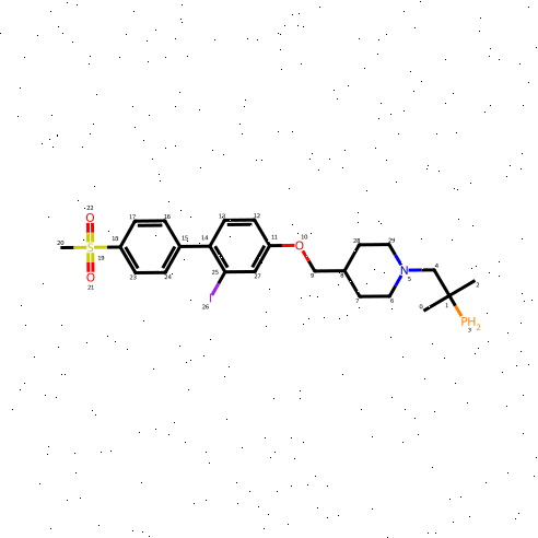 CC(C)(P)CN1CCC(COc2ccc(-c3ccc(S(C)(=O)=O)cc3)c(I)c2)CC1